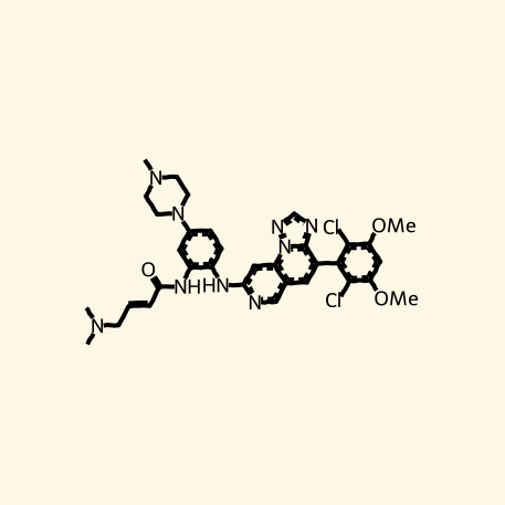 COc1cc(OC)c(Cl)c(-c2cc3cnc(Nc4ccc(N5CCN(C)CC5)cc4NC(=O)/C=C/CN(C)C)cc3n3ncnc23)c1Cl